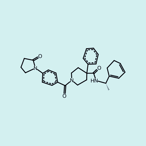 C[C@H](NC(=O)C1(c2ccccc2)CCN(C(=O)c2ccc(N3CCCC3=O)cc2)CC1)C1=CC=CCC1